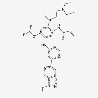 C=CC(=O)Nc1cc(Nc2cc(-c3ccc4c(cnn4CC)c3)ncn2)c(OC(F)F)cc1N(C)CCN(CC)CC